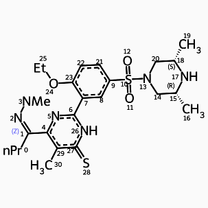 CCC/C(=N/NC)c1nc(-c2cc(S(=O)(=O)N3C[C@@H](C)N[C@@H](C)C3)ccc2OCC)[nH]c(=S)c1C